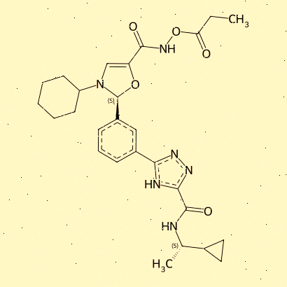 CCC(=O)ONC(=O)C1=CN(C2CCCCC2)[C@H](c2cccc(-c3nnc(C(=O)N[C@@H](C)C4CC4)[nH]3)c2)O1